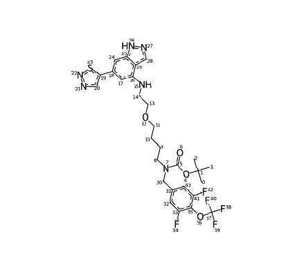 CC(C)(C)OC(=O)N(CCCCOCCNc1cc(-c2cnns2)cc2[nH]ncc12)Cc1cc(F)c(OC(F)(F)F)c(F)c1